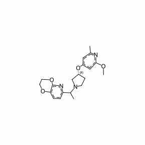 COc1cc(O[C@@H]2CCN(C(C)c3ccc4c(n3)OCCO4)C2)cc(C)n1